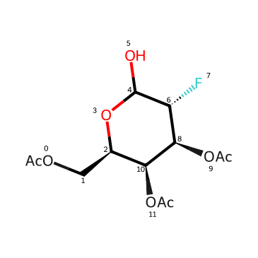 CC(=O)OC[C@H]1OC(O)[C@H](F)[C@@H](OC(C)=O)[C@H]1OC(C)=O